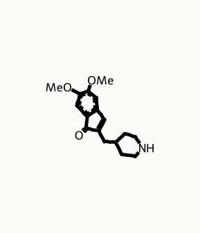 COc1cc2c(cc1OC)C(=O)C(CC1CCNCC1)=C2